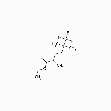 CCOC(=O)[C@@H](N)CCC(C)(C)C(F)(F)F